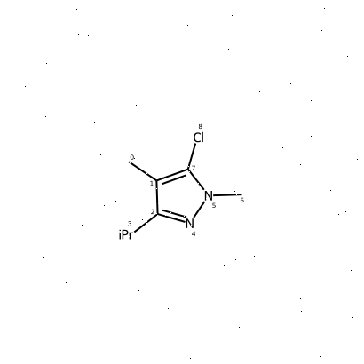 Cc1c(C(C)C)nn(C)c1Cl